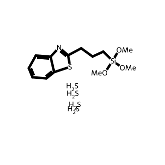 CO[Si](CCCc1nc2ccccc2s1)(OC)OC.S.S.S.S